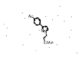 COCCn1ccc(-c2ccc(C(C)=O)cc2)n1